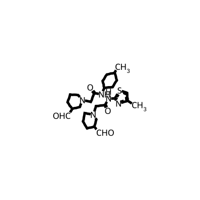 CC1CCC(NC(=O)CN2CCCC(C=O)C2)CC1.Cc1csc(NC(=O)CN2CCCC(C=O)C2)n1